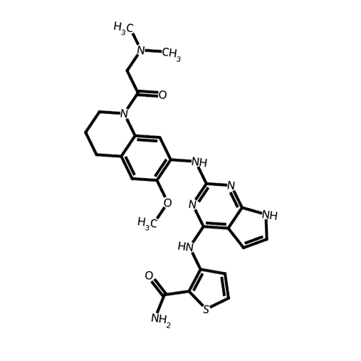 COc1cc2c(cc1Nc1nc(Nc3ccsc3C(N)=O)c3cc[nH]c3n1)N(C(=O)CN(C)C)CCC2